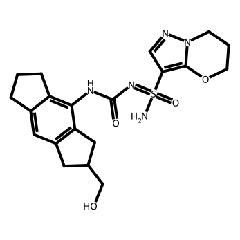 NS(=O)(=NC(=O)Nc1c2c(cc3c1CC(CO)C3)CCC2)c1cnn2c1OCCC2